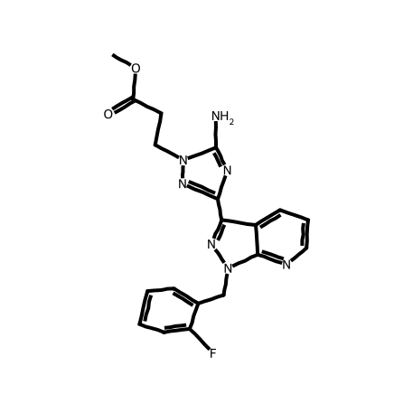 COC(=O)CCn1nc(-c2nn(Cc3ccccc3F)c3ncccc23)nc1N